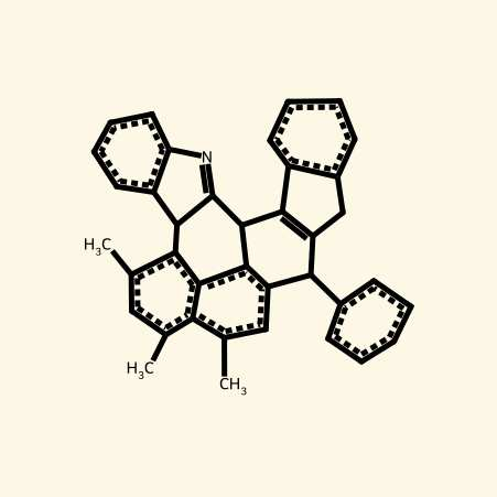 Cc1cc(C)c2c(C)cc3c4c2c1C1C(=Nc2ccccc21)C4C1=C(Cc2ccccc21)C3c1ccccc1